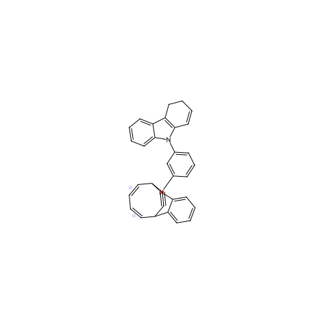 C1#CC2/C=C\C=C/C1c1ccccc1N2c1cccc(-n2c3c(c4ccccc42)CCC=C3)c1